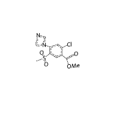 COC(=O)c1cc(S(C)(=O)=O)c(-n2ccnc2)cc1Cl